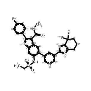 CCS(=O)(=O)Nc1cc2oc(-c3ccc(F)cc3)c(C(=O)NC)c2cc1-c1cncc(-c2nc3c(s2)CCCC3(F)F)c1